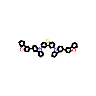 c1ccc2c(c1)oc1ccc(-c3ccc4c(c3)c3ccccc3n4-c3ccc4sc5ccc(-n6c7ccccc7c7cc(-c8ccc9oc%10ccccc%10c9c8)ccc76)cc5c4c3)cc12